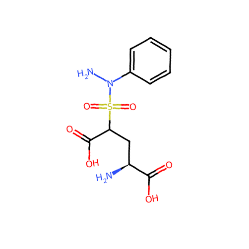 N[C@@H](CC(C(=O)O)S(=O)(=O)N(N)c1ccccc1)C(=O)O